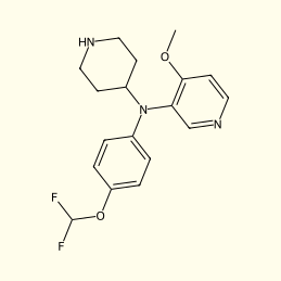 COc1ccncc1N(c1ccc(OC(F)F)cc1)C1CCNCC1